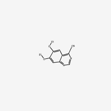 CCOc1cc2ncnc(C#N)c2cc1OCC